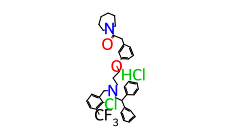 Cl.O=C(Cc1cccc(OCCCN(Cc2cccc(C(F)(F)F)c2Cl)CC(c2ccccc2)c2ccccc2)c1)N1CCCCCC1